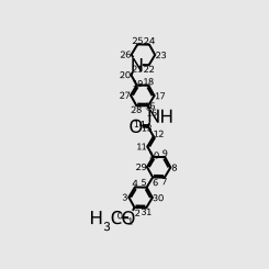 COc1ccc(-c2cccc(C=CC(=O)Nc3ccc(CN4CCCCC4)cc3)c2)cc1